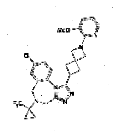 COc1cccnc1N1CC2(CC(c3nnc4n3-c3ccc(Cl)cc3CN(C3(C(F)(F)F)CC3)C4)C2)C1